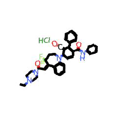 CCN1CCN(C(=O)C=C2c3ccccc3N(C3C=CC(C(=O)Nc4ccccc4)=C(c4ccccc4)C3=C=O)CCC2(F)F)CC1.Cl